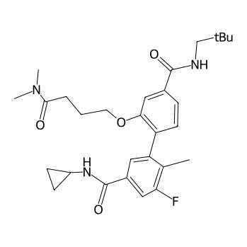 Cc1c(F)cc(C(=O)NC2CC2)cc1-c1ccc(C(=O)NCC(C)(C)C)cc1OCCCC(=O)N(C)C